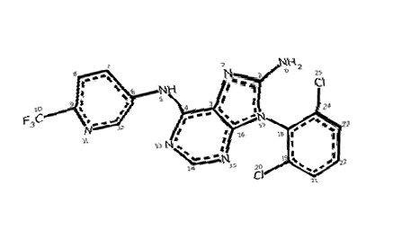 Nc1nc2c(Nc3ccc(C(F)(F)F)nc3)ncnc2n1-c1c(Cl)cccc1Cl